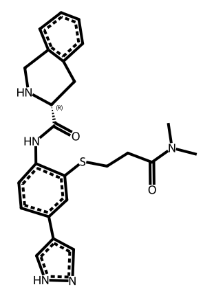 CN(C)C(=O)CCSc1cc(-c2cn[nH]c2)ccc1NC(=O)[C@H]1Cc2ccccc2CN1